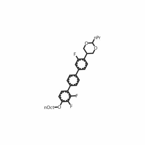 CCCCCCCCOc1ccc(-c2ccc(-c3ccc(C4COC(CCC)OC4)c(F)c3)cc2)c(F)c1F